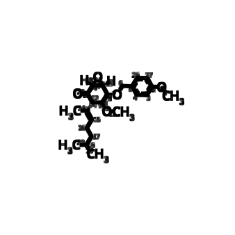 COc1ccc(CO[C@@H]2[C@@H](OC)[C@H](C(C)=CCCC(C)C)C(=O)[C@@H]3O[C@@H]23)cc1